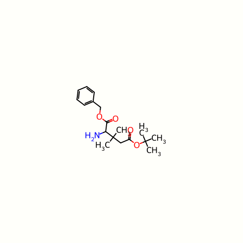 CC(C)(C)OC(=O)CC(C)(C)C(N)C(=O)OCc1ccccc1